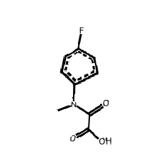 CN(C(=O)C(=O)O)c1ccc(F)cc1